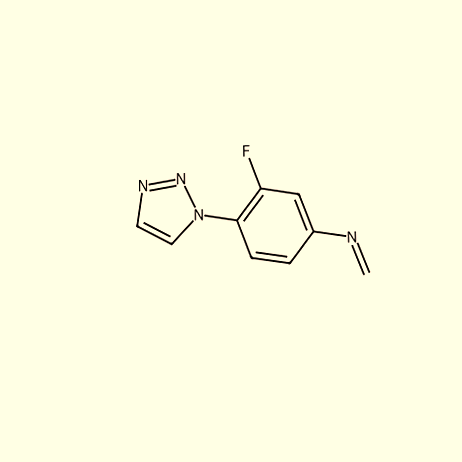 C=Nc1ccc(-n2ccnn2)c(F)c1